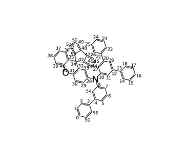 c1ccc(-c2cccc(N(c3cc(-c4ccccc4)cc(-c4ccccc4)c3)c3ccc4c(c3)C3(c5ccccc5O4)c4ccccc4-c4ccccc43)c2)cc1